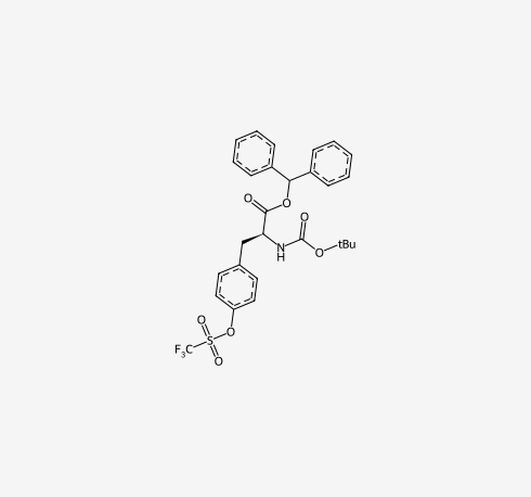 CC(C)(C)OC(=O)N[C@@H](Cc1ccc(OS(=O)(=O)C(F)(F)F)cc1)C(=O)OC(c1ccccc1)c1ccccc1